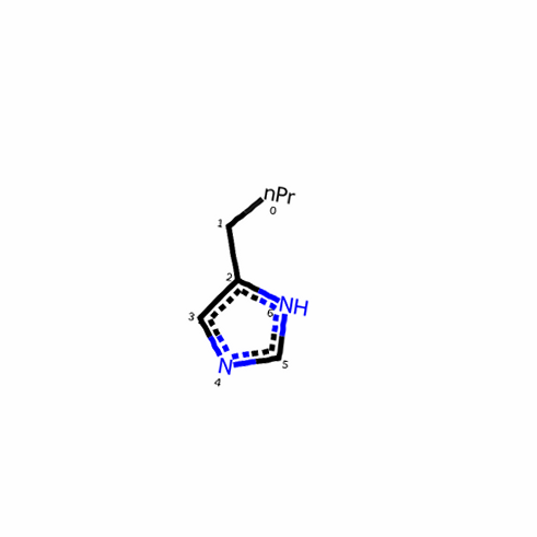 CCCCc1[c]nc[nH]1